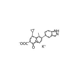 Cc1c(-c2ccc3[nH]ncc3c2)ccn2c(=O)c(C(=O)[O-])cc(C3CC3)c12.[K+]